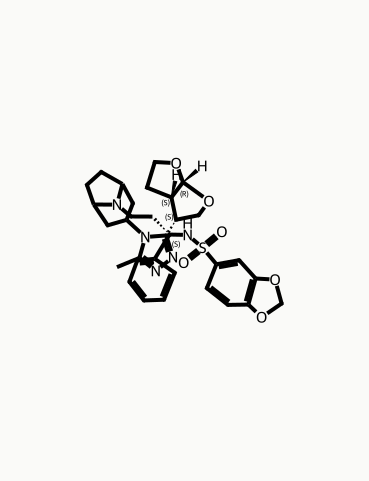 Cc1nnc([C@H]2CO[C@H]3OCC[C@H]32)n1C1CC2CCC(C1)N2CC[C@H](NS(=O)(=O)c1ccc2c(c1)OCO2)c1ccccc1